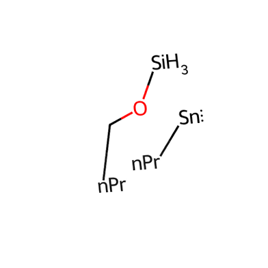 CCCCO[SiH3].CC[CH2][Sn]